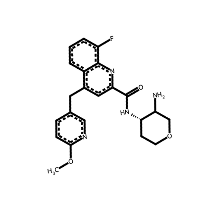 COc1ccc(Cc2cc(C(=O)N[C@H]3CCOCC3N)nc3c(F)cccc23)cn1